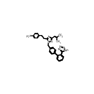 CC(C)Cc1nc(CCc2ccc(N)cc2)n(Cc2ccc(-c3ccccc3-c3nnn[nH]3)cc2)n1